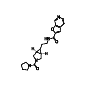 O=C(NCCC1[C@H]2CN(C(=O)N3CCCC3)C[C@@H]12)c1cc2ccncc2o1